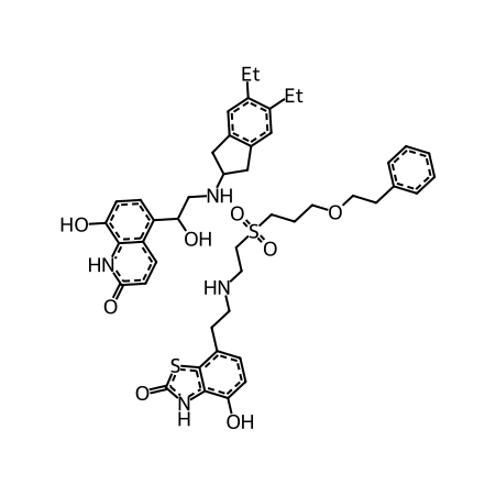 CCc1cc2c(cc1CC)CC(NCC(O)c1ccc(O)c3[nH]c(=O)ccc13)C2.O=c1[nH]c2c(O)ccc(CCNCCS(=O)(=O)CCCOCCc3ccccc3)c2s1